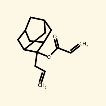 C=CCC1(OC(=O)C=C)C2CC3CC(C2)CC1C3